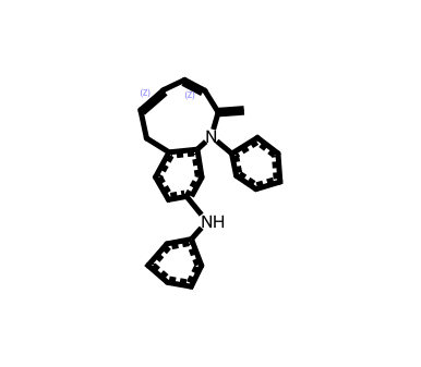 C=C1/C=C\C=C/Cc2ccc(Nc3ccccc3)cc2N1c1ccccc1